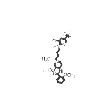 COc1ccccc1C(=O)NC1CCN(CCCCNc2ncc(C(F)(F)F)cc2Cl)CC1OC.O